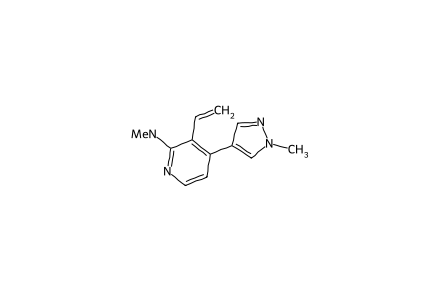 C=Cc1c(-c2cnn(C)c2)ccnc1NC